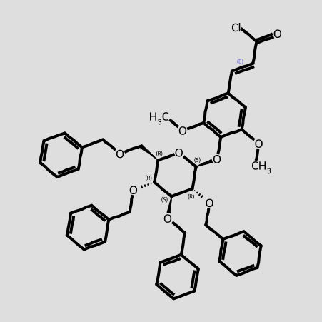 COc1cc(/C=C/C(=O)Cl)cc(OC)c1O[C@@H]1O[C@H](COCc2ccccc2)[C@@H](OCc2ccccc2)[C@H](OCc2ccccc2)[C@H]1OCc1ccccc1